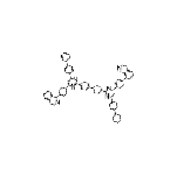 c1ccc(-c2ccc(-c3cc(-c4ccc(-c5cccc6ccncc56)cc4)nc(-c4ccc(-c5ccc(-c6nc(-c7ccc(-c8ccccc8)cc7)cc(-c7ccc(-c8nccc9ccccc89)cc7)n6)cc5)cc4)n3)cc2)cc1